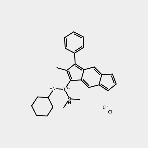 CC1=[C]([Ti+2]([NH]C2CCCCC2)[SiH](C)C)c2cc3c(cc2=C1c1ccccc1)C=CC=3.[Cl-].[Cl-]